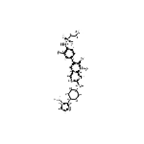 CC(C)n1c(=O)c(-c2ccc(NS(=O)(=O)CCC(F)(F)F)c(F)c2)cc2cnc(N[C@H]3CC[C@H](c4nccn4C)CC3)nc21